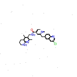 C=N/C(=C\C(=C/C)C(=O)NCc1c(C)nc2c(c1C)CCCN2)Cc1ccc2ncc(Cl)cc2c1